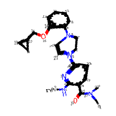 CCCNc1nc(N2CCN(c3ccccc3OCC3CC3)CC2)ccc1C(=O)N(C)C